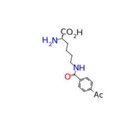 CC(=O)c1ccc(C(=O)NCCCC[C@@H](N)C(=O)O)cc1